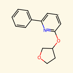 [c]1cc(OC2CCOC2)nc(-c2ccccc2)c1